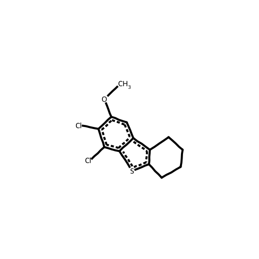 COc1cc2c3c(sc2c(Cl)c1Cl)CCCC3